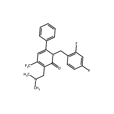 CN(C)Cc1c(C(F)(F)F)cc(-c2ccccc2)n(Cc2ccc(F)cc2F)c1=O